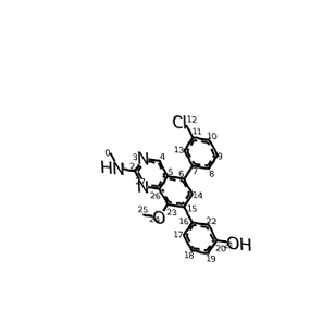 CNc1ncc2c(-c3cccc(Cl)c3)cc(-c3cccc(O)c3)c(OC)c2n1